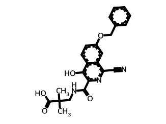 CC(C)(CNC(=O)c1nc(C#N)c2cc(OCc3ccccc3)ccc2c1O)C(=O)O